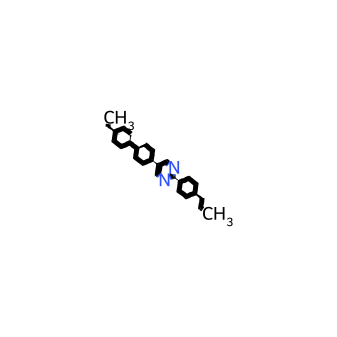 CCC[C@H]1CC[C@H](c2ncc([C@H]3CC[C@H]([C@H]4CC[C@H](CC)CC4)CC3)cn2)CC1